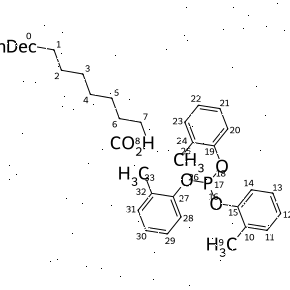 CCCCCCCCCCCCCCCCCC(=O)O.Cc1ccccc1OP(Oc1ccccc1C)Oc1ccccc1C